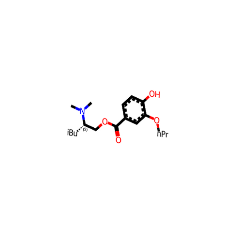 CCCOc1cc(C(=O)OC[C@H](C(C)CC)N(C)C)ccc1O